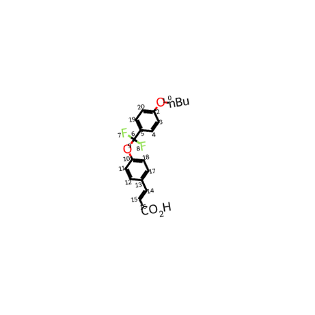 CCCCOc1ccc(C(F)(F)Oc2ccc(C=CC(=O)O)cc2)cc1